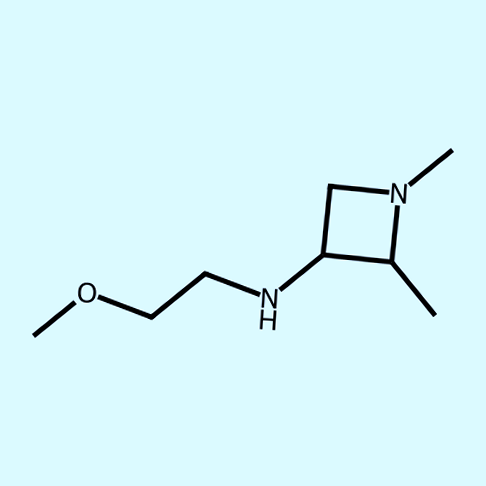 COCCNC1CN(C)C1C